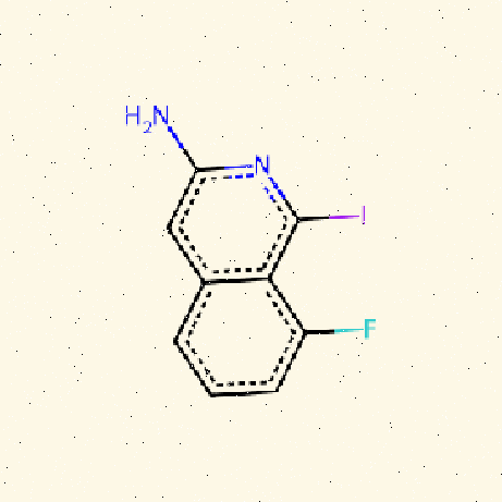 Nc1cc2cccc(F)c2c(I)n1